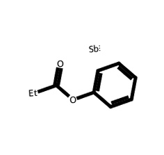 CCC(=O)Oc1ccccc1.[Sb]